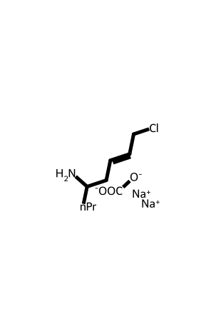 CCCC(N)CC=CCCl.O=C([O-])[O-].[Na+].[Na+]